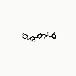 Cc1cccc(CNC(=O)Cc2ccc(-c3ccc(CN4CCOCC4)nc3F)nc2)c1